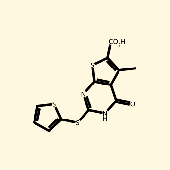 Cc1c(C(=O)O)sc2nc(Sc3cccs3)[nH]c(=O)c12